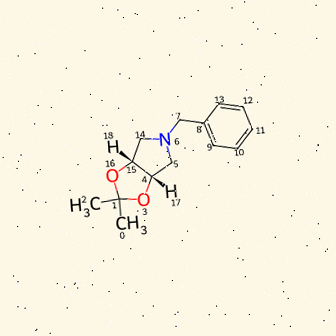 CC1(C)O[C@H]2CN(Cc3ccccc3)C[C@H]2O1